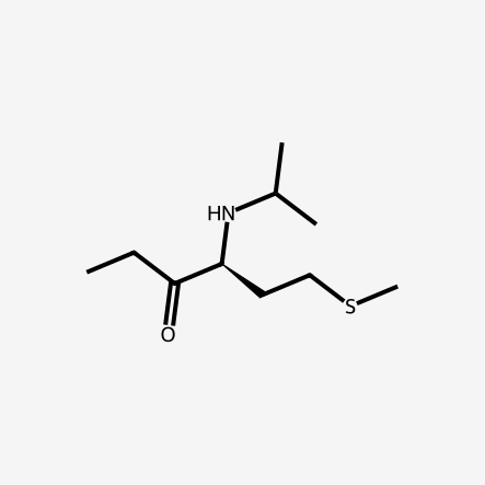 CCC(=O)[C@H](CCSC)NC(C)C